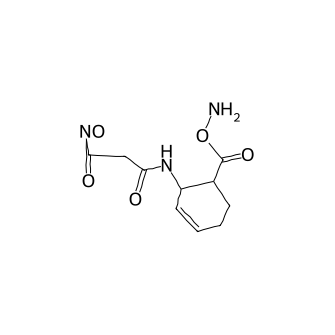 NOC(=O)C1CCC=CC1NC(=O)CC(=O)N=O